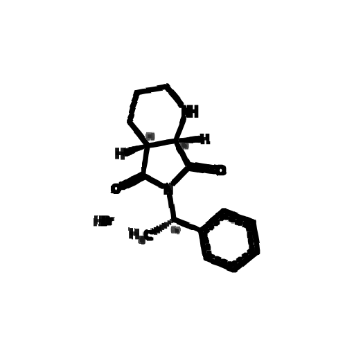 Br.C[C@@H](c1ccccc1)N1C(=O)[C@H]2NCCC[C@H]2C1=O